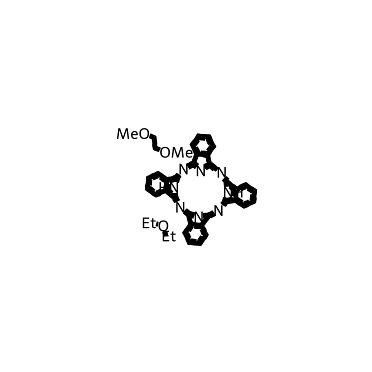 CCOCC.COCCOC.c1ccc2c(c1)-c1nc-2nc2[nH]c(nc3nc(nc4[nH]c(n1)c1ccccc41)-c1ccccc1-3)c1ccccc21